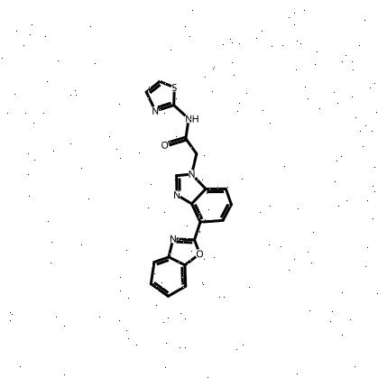 O=C(Cn1cnc2c(-c3nc4ccccc4o3)cccc21)Nc1nccs1